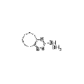 BBc1bbc2c(b1)CCCCCC2